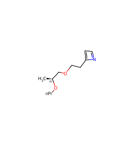 CCCO[C@@H](C)COCCC1=CC=N1